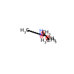 CCCCCCCCCCCCCCNC(=O)[C@@H]1CC(CCC(=O)OC(C)(C)C)C[C@@H]1OC